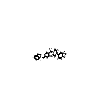 O=C(c1ccc(Cn2ccc3ccccc32)cc1)N1CCN(c2ccc3c(c2)OCO3)CC1